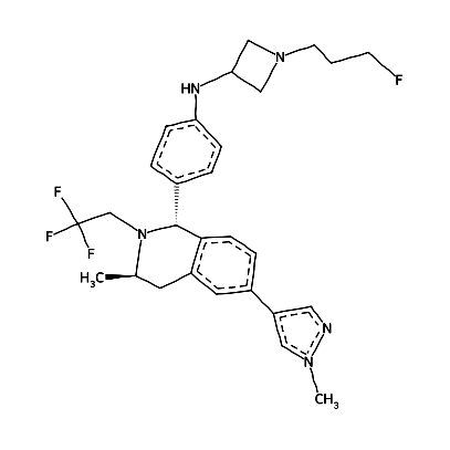 C[C@@H]1Cc2cc(-c3cnn(C)c3)ccc2[C@@H](c2ccc(NC3CN(CCCF)C3)cc2)N1CC(F)(F)F